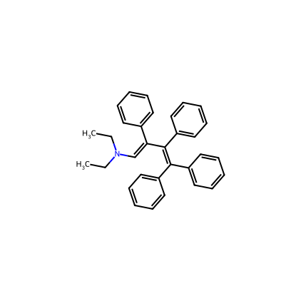 CCN(C=C(C(=C(c1ccccc1)c1ccccc1)c1ccccc1)c1ccccc1)CC